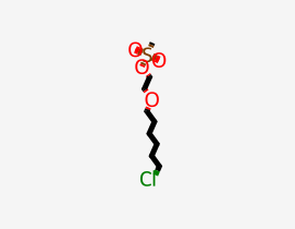 CS(=O)(=O)OCCOCCCCCCCl